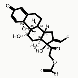 CCC(=O)OCC(=O)[C@@]1(O)C(=CF)C[C@H]2[C@@H]3CCC4=CC(=O)C=C[C@]4(C)[C@@]3(F)[C@@H](O)C[C@@]21C